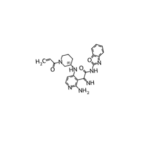 C=CC(=O)N1CCC[C@@H](Nc2ccnc(N)c2C(=N)C(=O)Nc2nc3ccccc3o2)C1